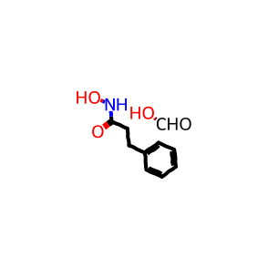 O=C(CCc1ccccc1)NO.O=CO